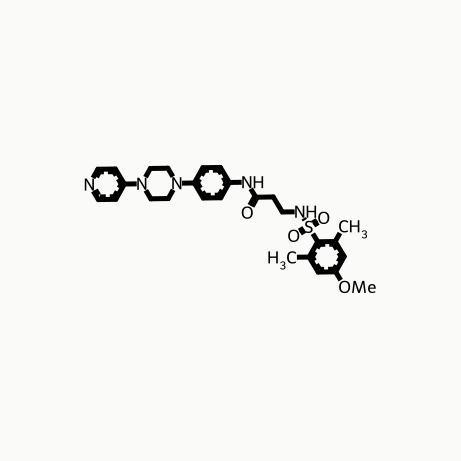 COc1cc(C)c(S(=O)(=O)NCCC(=O)Nc2ccc(N3CCN(c4ccncc4)CC3)cc2)c(C)c1